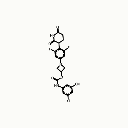 N#Cc1cc(Cl)cc(NC(=O)OC2CN(c3cc(F)c(C4CCC(=O)NC4=O)c(F)c3)C2)c1